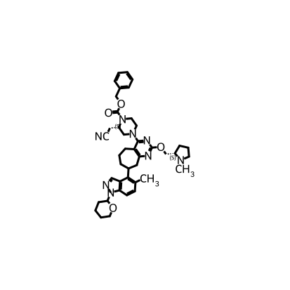 Cc1ccc2c(cnn2C2CCCCO2)c1C1CCCc2c(nc(OC[C@@H]3CCCN3C)nc2N2CCN(C(=O)OCc3ccccc3)[C@@H](CC#N)C2)C1